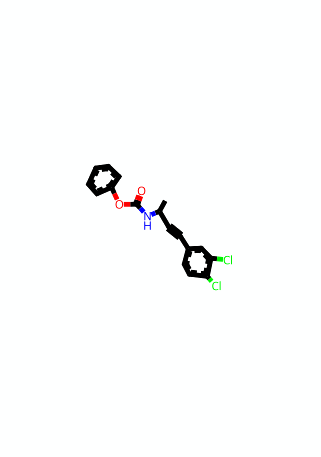 CC(C#Cc1ccc(Cl)c(Cl)c1)NC(=O)Oc1ccccc1